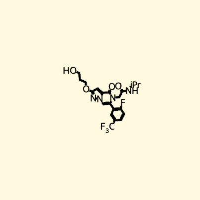 CC(C)NC(=O)Cn1c(-c2cc(C(F)(F)F)ccc2F)cn2nc(OCCCO)cc2c1=O